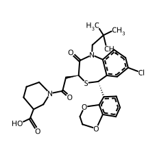 CC(C)(C)CN1C(=O)[C@H](CC(=O)N2CCCC(C(=O)O)C2)S[C@@H](c2cccc3c2OCCO3)c2cc(Cl)ccc21